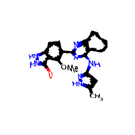 COc1c(-c2nc(Nc3cc(C)[nH]n3)c3ccccc3n2)ccc2[nH][nH]c(=O)c12